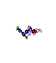 CCS(=O)(=O)c1ccc([C@H](CC#N)NC(=O)c2ccc(N3C[C@H](N4CCC(C(F)(F)F)CC4)CC[C@H]3COC(F)F)cc2)cc1